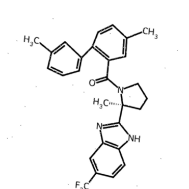 Cc1cccc(-c2ccc(C)cc2C(=O)N2CCC[C@@]2(C)c2nc3cc(C(F)(F)F)ccc3[nH]2)c1